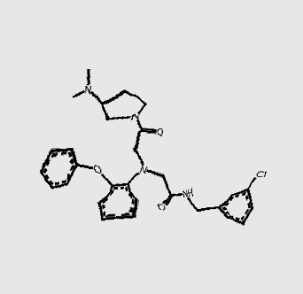 CN(C)C1CCN(C(=O)CN(CC(=O)NCc2cccc(Cl)c2)c2ccccc2Oc2ccccc2)C1